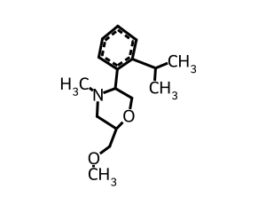 COCC1CN(C)C(c2ccccc2C(C)C)CO1